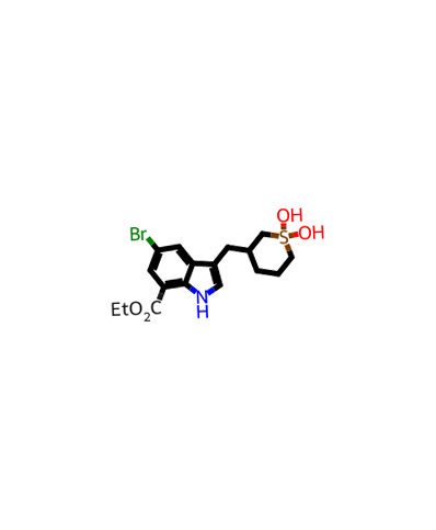 CCOC(=O)c1cc(Br)cc2c(CC3CCCS(O)(O)C3)c[nH]c12